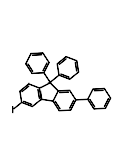 Ic1ccc2c(c1)-c1ccc(-c3ccccc3)cc1C2(c1ccccc1)c1ccccc1